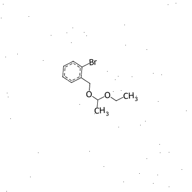 CCOC(C)OCc1ccccc1Br